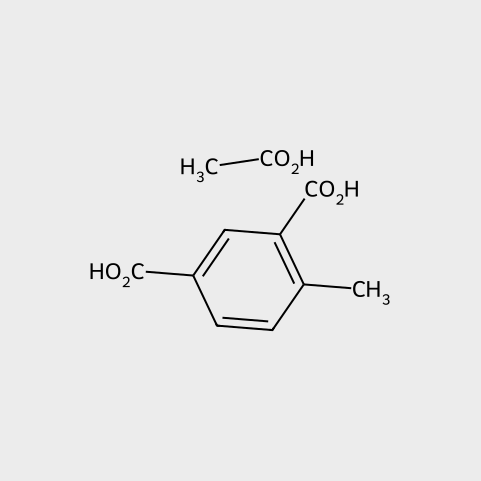 CC(=O)O.Cc1ccc(C(=O)O)cc1C(=O)O